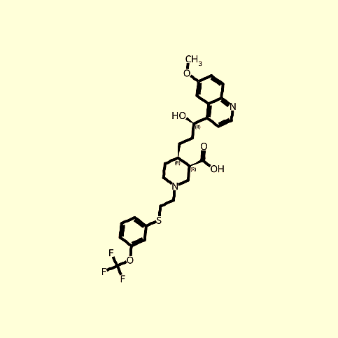 COc1ccc2nccc([C@H](O)CC[C@@H]3CCN(CCSc4cccc(OC(F)(F)F)c4)C[C@@H]3C(=O)O)c2c1